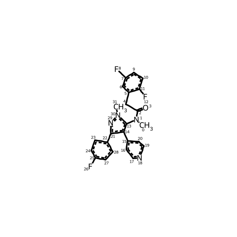 CN(C(=O)Cc1cc(F)ccc1F)c1c(-c2ccncc2)c(-c2ccc(F)cc2)nn1C